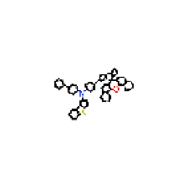 C1=Cc2c(ccc3c2Oc2c(ccc4ccccc24)C32c3ccccc3-c3ccc(-c4ccc(N(c5ccc(-c6ccccc6)cc5)c5ccc6sc7ccccc7c6c5)cc4)cc32)CC1